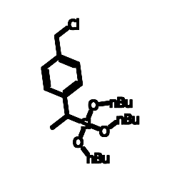 CCCCO[Si](OCCCC)(OCCCC)C(C)c1ccc(CCl)cc1